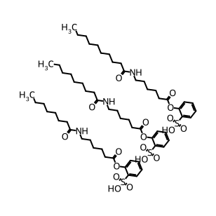 CCCCCCCC(=O)NCCCCCC(=O)Oc1ccccc1S(=O)(=O)O.CCCCCCCCC(=O)NCCCCCC(=O)Oc1ccccc1S(=O)(=O)O.CCCCCCCCCC(=O)NCCCCCC(=O)Oc1ccccc1S(=O)(=O)O